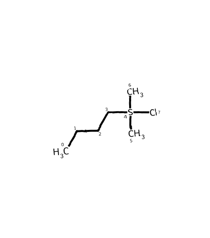 CCCCS(C)(C)Cl